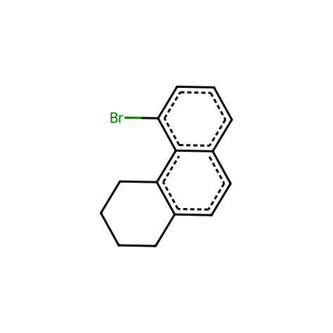 Brc1cccc2ccc3c(c12)CCCC3